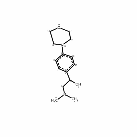 CN(C)CC(O)c1ccc(N2CCOCC2)cc1